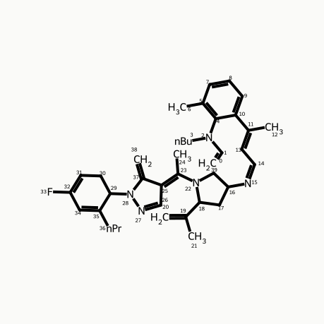 C=CN(CCCC)c1c(C)cccc1/C(C)=C/C=N\C1CC(C(=C)C)N(/C(C)=c2\cnn(C3CC=C(F)C=C3CCC)c2=C)C1